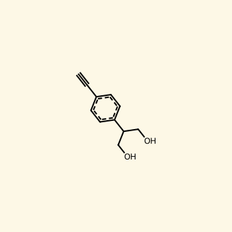 C#Cc1ccc(C(CO)CO)cc1